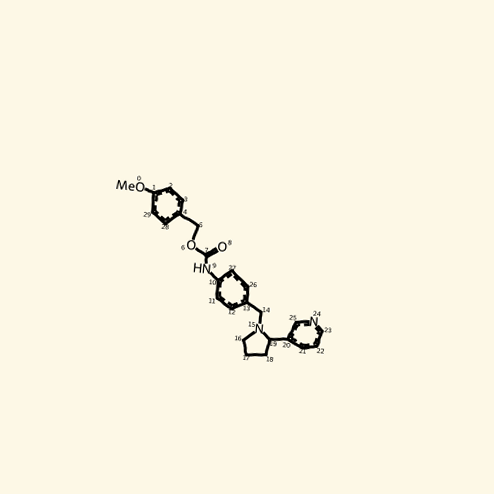 COc1ccc(COC(=O)Nc2ccc(CN3CCCC3c3cccnc3)cc2)cc1